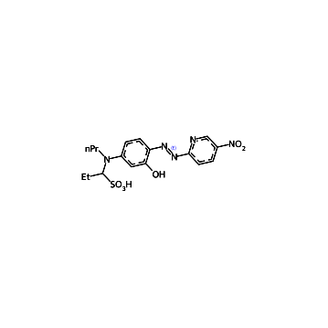 CCCN(c1ccc(/N=N/c2ccc([N+](=O)[O-])cn2)c(O)c1)C(CC)S(=O)(=O)O